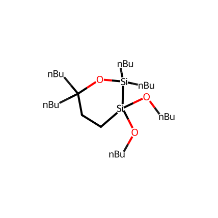 CCCCO[Si]1(OCCCC)CCC(CCCC)(CCCC)O[Si]1(CCCC)CCCC